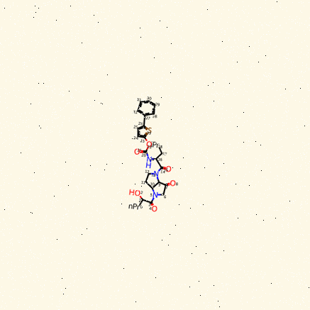 CCCC(O)C(=O)N1CC(=O)C2C1CCN2C(=O)C(CC(C)C)NC(=O)Oc1ccc(-c2ccccc2)s1